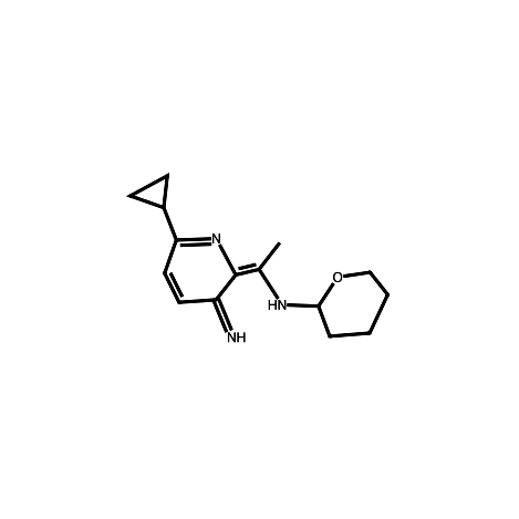 C/C(NC1CCCCO1)=C1\N=C(C2CC2)C=CC1=N